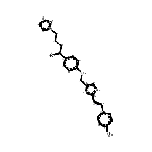 OC(CCCn1ccnn1)c1ccc(OCc2coc(/C=C/c3ccc(C(F)(F)F)cc3)n2)cc1